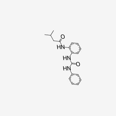 CC(C)CC(=O)Nc1ccccc1NC(=O)Nc1ccccc1